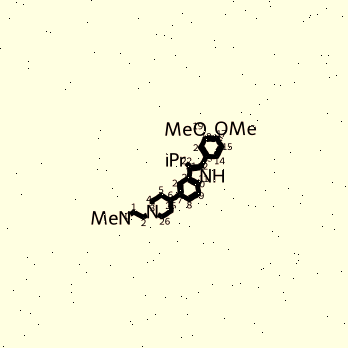 CNCCN1CCC(c2ccc3[nH]c(-c4ccc(OC)c(OC)c4)c(C(C)C)c3c2)CC1